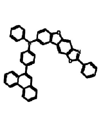 c1ccc(-c2nc3cc4oc5ccc(N(c6ccccc6)c6ccc(-c7cc8ccccc8c8ccccc78)cc6)cc5c4cc3o2)cc1